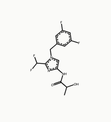 CC(O)C(=O)Nc1cn(Cc2cc(F)cc(F)c2)c(C(F)F)n1